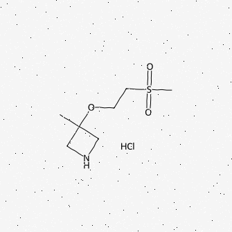 CC1(OCCS(C)(=O)=O)CNC1.Cl